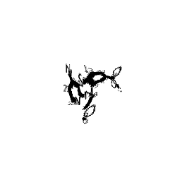 COCCN1c2cc(C(=O)OC)ccc2Sc2c(C#N)ccnc21